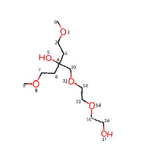 COCCC(O)(CCOC)COCCOCCO